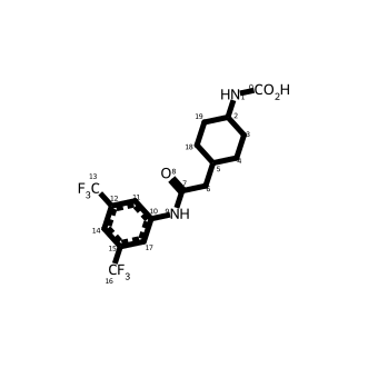 O=C(O)NC1CCC(CC(=O)Nc2cc(C(F)(F)F)cc(C(F)(F)F)c2)CC1